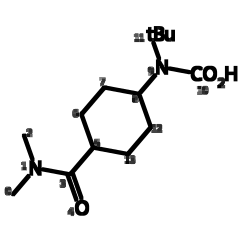 CN(C)C(=O)C1CCC(N(C(=O)O)C(C)(C)C)CC1